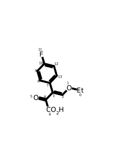 CCO/C=C(/C(=O)C(=O)O)c1ccc(F)cc1